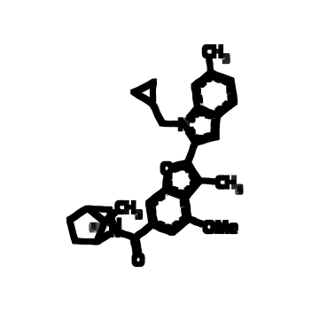 COc1cc(C(=O)N2CC3CCC2[C@@H]3C)cc2oc(-c3cc4ccc(C)cc4n3CC3CC3)c(C)c12